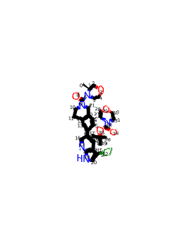 C[C@H]1COCCN1C(=O)N1CCc2cc(-c3cnc4[nH]cc(Cl)c4c3)cc([C@@H]3COCCN3C(=O)OC(C)(C)C)c2C1